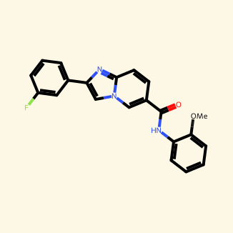 COc1ccccc1NC(=O)c1ccc2nc(-c3cccc(F)c3)cn2c1